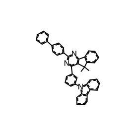 CC1(C)c2ccccc2-c2nc(-c3ccc(-c4ccccc4)cc3)nc(-c3cccc(-n4c5ccccc5c5ccccc54)c3)c21